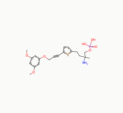 COc1cc(OC)cc(OCC#Cc2ccc(CCC(C)(N)COP(=O)(O)O)s2)c1